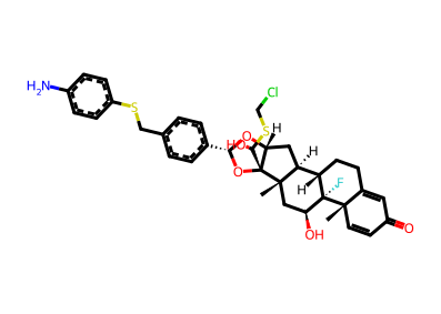 C[C@]12C=CC(=O)C=C1CC[C@H]1[C@@H]3C[C@H]4O[C@@H](c5ccc(CSc6ccc(N)cc6)cc5)O[C@@]4(C(O)SCCl)[C@@]3(C)C[C@H](O)[C@@]12F